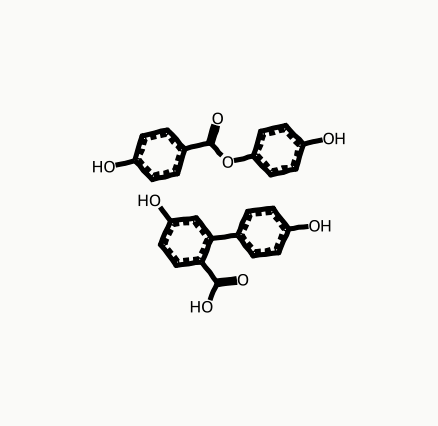 O=C(O)c1ccc(O)cc1-c1ccc(O)cc1.O=C(Oc1ccc(O)cc1)c1ccc(O)cc1